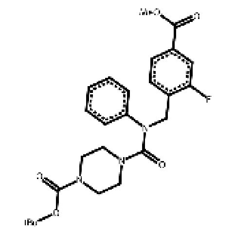 COC(=O)c1ccc(CN(C(=O)N2CCN(C(=O)OC(C)(C)C)CC2)c2ccccc2)c(F)c1